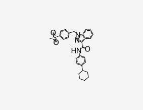 CS(=O)(=O)c1ccc(Cn2nc(C(=O)Nc3ccc(C4CCCCC4)cc3)c3ccccc32)cc1